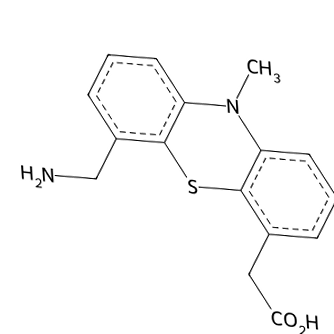 CN1c2cccc(CN)c2Sc2c(CC(=O)O)cccc21